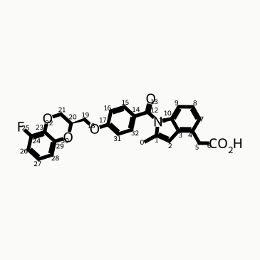 Cc1cc2c(CC(=O)O)cccc2n1C(=O)c1ccc(OC[C@@H]2COc3c(F)cccc3O2)cc1